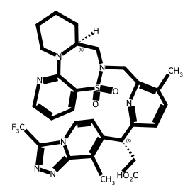 Cc1ccc([C@H](CC(=O)O)c2ccn3c(C(F)(F)F)nnc3c2C)nc1CN1C[C@@H]2CCCCN2c2ncccc2S1(=O)=O